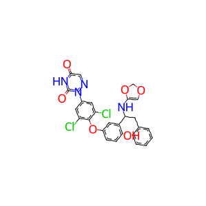 O=c1cnn(-c2cc(Cl)c(Oc3ccc(O)c(C(Cc4ccccc4)NC4=COCO4)c3)c(Cl)c2)c(=O)[nH]1